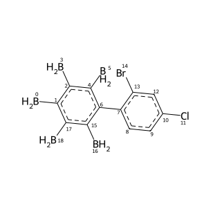 Bc1c(B)c(B)c(-c2ccc(Cl)cc2Br)c(B)c1B